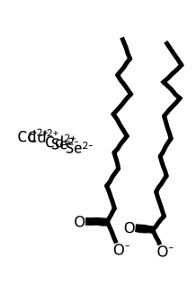 CCCCCCCCCCC(=O)[O-].CCCCCCCCCCC(=O)[O-].[Cd+2].[Cd+2].[Cd+2].[Se-2].[Se-2]